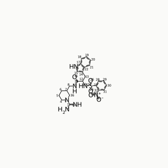 N=C(N)N1CCCC(CNC(=O)C(Cc2c[nH]c3ccccc23)NS(=O)(=O)c2ccccc2[N+](=O)[O-])C1